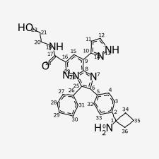 NC1(c2ccc(-c3nc4c(-c5cc[nH]n5)cc(C(=O)NCCO)nn4c3-c3ccccc3)cc2)CCC1